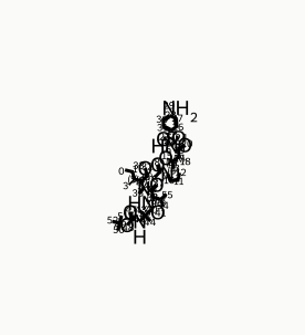 CC[C@H](C)[C@@H]([C@@H](CC(=O)N1CCC[C@H]1[C@H](OC)[C@@H](C)C(=O)NS(=O)(=O)c1ccc(N)cc1)OC)N(C)C(=O)[C@@H](NC(=O)C(C)(C)NC(=O)OC(C)(C)C)C(C)C